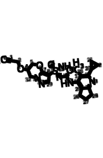 C#CCOC1COc2c(S(N)(=O)=NC(=O)Nc3c(C)c(C4CC4)nc4c3CCC4)cnn2C1